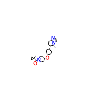 Cc1c(-c2ccc(OC3CCN(C(=O)C4(C)CC4)CC3)cc2)ccc2nccn12